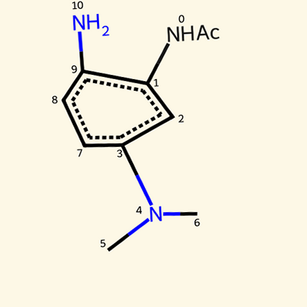 CC(=O)Nc1cc(N(C)C)ccc1N